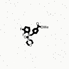 COC(=O)c1ccc(CN(C(=O)N2CCOCC2)c2cccc(F)c2F)cc1